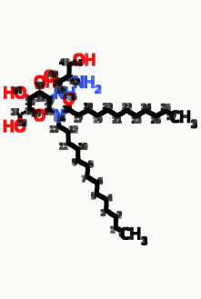 CCCCCCCCCCCCCCN(C(=O)CCCCCCCCCCC)[C@@H]1O[C@H](CO)[C@@H](O)[C@H](O)[C@H]1NC(=O)[C@@H](N)CO